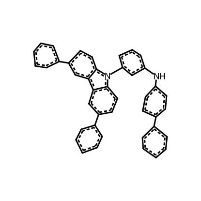 c1ccc(-c2ccc(Nc3cccc(-n4c5ccc(-c6ccccc6)cc5c5cc(-c6ccccc6)ccc54)c3)cc2)cc1